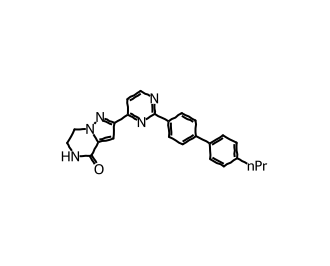 CCCc1ccc(-c2ccc(-c3nccc(-c4cc5n(n4)CCNC5=O)n3)cc2)cc1